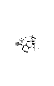 CC(C)(C)NC(=O)c1c([N+](=O)[O-])cccc1[N+](=O)[O-]